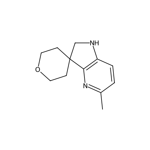 Cc1ccc2c(n1)C1(CCOCC1)CN2